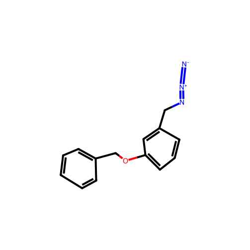 [N-]=[N+]=NCc1cccc(OCc2ccccc2)c1